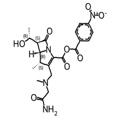 C[C@@H](O)[C@H]1C(=O)N2C(C(=O)OC(=O)c3ccc([N+](=O)[O-])cc3)=C(CN(C)CC(N)=O)[C@H](C)[C@H]12